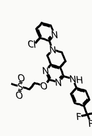 CS(=O)(=O)CCOc1nc2c(c(Nc3ccc(C(F)(F)F)cc3)n1)CCN(c1ncccc1Cl)C2